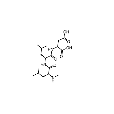 CN[C@@H](CC(C)C)C(=O)N[C@@H](CC(C)C)C(=O)N[C@@H](CC(=O)O)C(=O)O